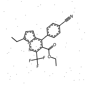 CCOC(=O)c1c(C(F)(F)F)nn2c(CC)ccc2c1-c1ccc(C#N)cc1